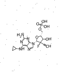 C#C[C@@]1(F)[C@H](O)[C@@H](COP(=O)(O)O)O[C@H]1n1cnc2c(NC3CC3)nc(N)nc21